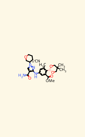 COC(=O)c1cc(Nc2nn(C3COCC[C@@H]3C#N)cc2C(N)=O)cc(C)c1B1OCC(C)(C)CO1